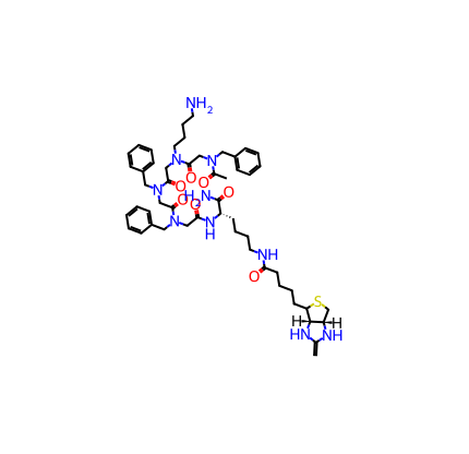 C=C1N[C@H]2CSC(CCCCC(=O)NCCCC[C@H](NC(=O)CN(Cc3ccccc3)C(=O)CN(Cc3ccccc3)C(=O)CN(CCCCN)C(=O)CN(Cc3ccccc3)C(C)=O)C(N)=O)[C@H]2N1